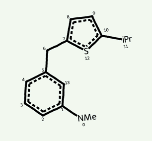 CNc1cccc(Cc2ccc(C(C)C)s2)c1